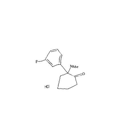 CNC1(c2cccc(F)c2)CCCCC1=O.Cl